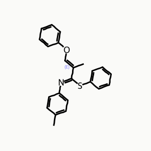 C/C(=C\Oc1ccccc1)C(=Nc1ccc(C)cc1)Sc1ccccc1